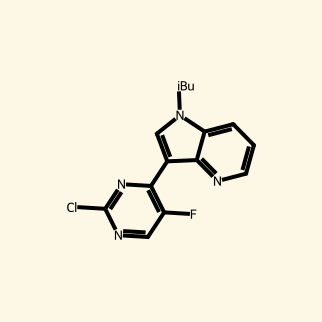 CCC(C)n1cc(-c2nc(Cl)ncc2F)c2ncccc21